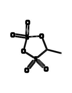 CC1OS(=O)(=O)OS1(=O)=O